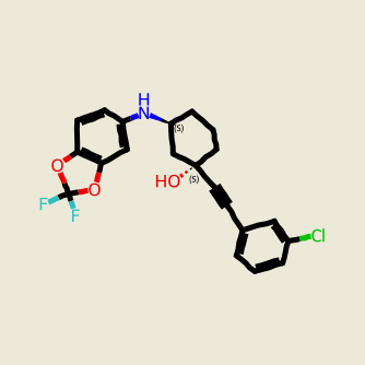 O[C@@]1(C#Cc2cccc(Cl)c2)CCC[C@H](Nc2ccc3c(c2)OC(F)(F)O3)C1